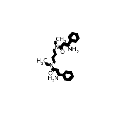 CCN(CCCCN(CC)C(=O)C=C(N)c1ccccc1)C(=O)C=C(N)c1ccccc1